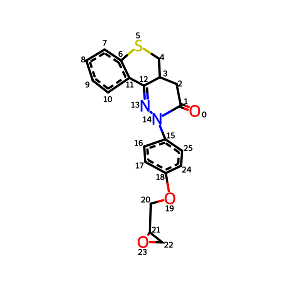 O=C1CC2CSc3ccccc3C2=NN1c1ccc(OCC2CO2)cc1